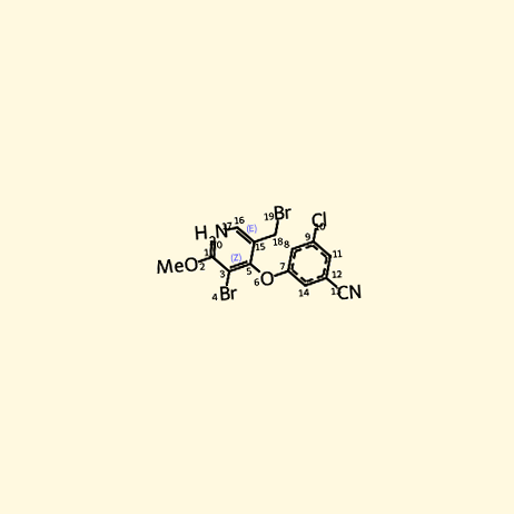 C=C(OC)/C(Br)=C(Oc1cc(Cl)cc(C#N)c1)\C(=C/N)CBr